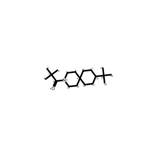 CC(C)(C)C(=O)N1CCC2(CCC(C(C)(C)C)CC2)CC1